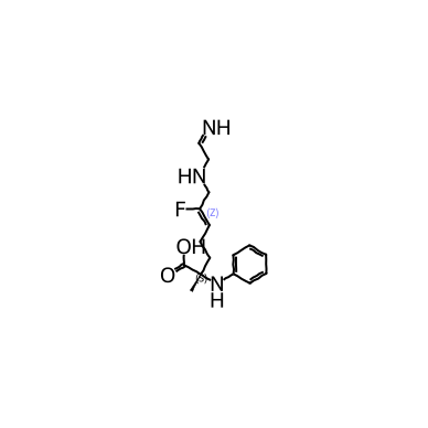 C[C@@](CC/C=C(\F)CNCC=N)(Nc1ccccc1)C(=O)O